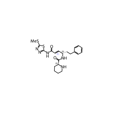 CSc1nnc(NC(=O)/C=C/[C@H](CCc2ccccc2)NC(=O)[C@@H]2CCCCN2)s1